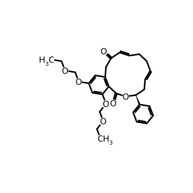 CCOCOc1cc2c(c(OCOCC)c1)C(=O)O[C@H](c1ccccc1)C/C=C/CC/C=C/C(=O)C2